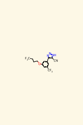 N#Cc1[nH]nnc1-c1cc(OCCCC(F)(F)F)cc(C(F)(F)F)c1